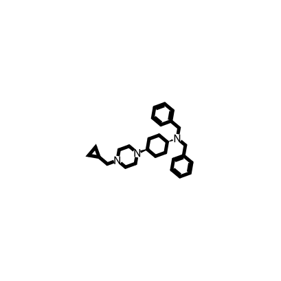 c1ccc(CN(Cc2ccccc2)[C@H]2CC[C@H](N3CCN(CC4CC4)CC3)CC2)cc1